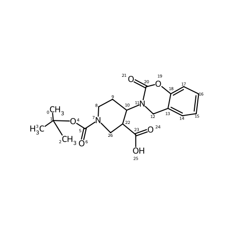 CC(C)(C)OC(=O)N1CCC(N2Cc3ccccc3OC2=O)C(C(=O)O)C1